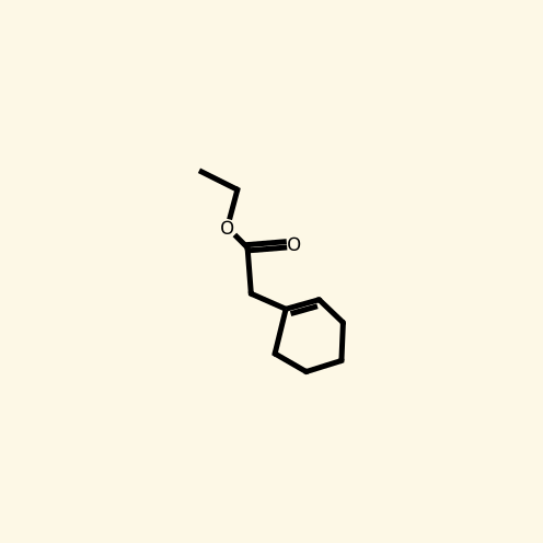 CCOC(=O)CC1=CCCCC1